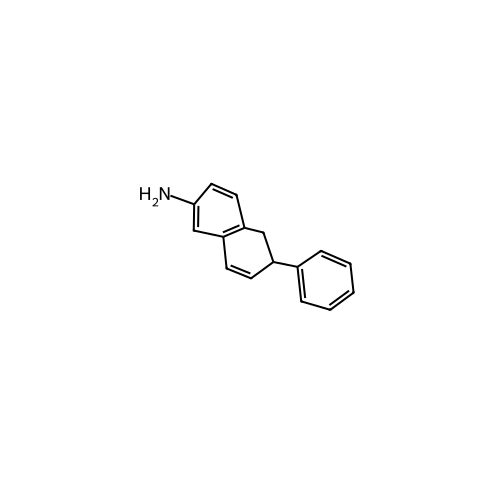 Nc1ccc2c(c1)C=CC(c1ccccc1)C2